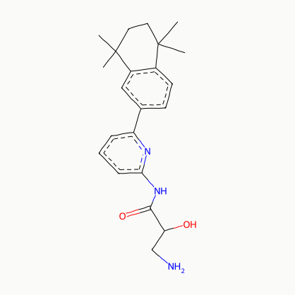 CC1(C)CCC(C)(C)c2cc(-c3cccc(NC(=O)C(O)CN)n3)ccc21